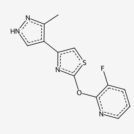 Cc1n[nH]cc1-c1csc(Oc2ncccc2F)n1